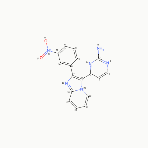 Nc1nccc(-c2c(-c3cccc([N+](=O)[O-])c3)nc3ccccn23)n1